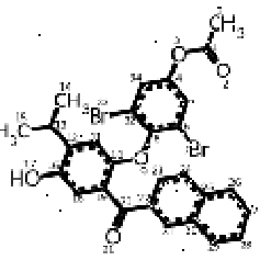 CC(=O)Oc1cc(Br)c(Oc2cc(C(C)C)c(O)cc2C(=O)c2ccc3ccccc3c2)c(Br)c1